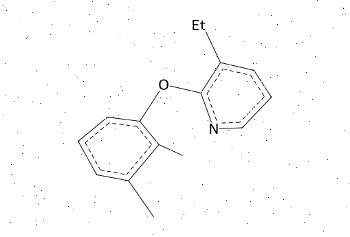 CCc1cccnc1Oc1cccc(C)c1C